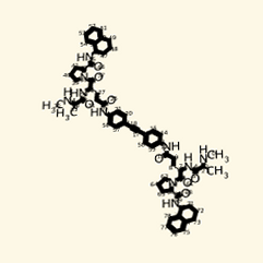 CN[C@@H](C)C(=O)N[C@@H](CCC(=O)Nc1ccc(C#Cc2ccc(NC(=O)CC[C@H](NC(=O)[C@H](C)NC)C(=O)N3CCC[C@H]3C(=O)N[C@@H]3CCCc4ccccc43)cc2)cc1)C(=O)N1CCC[C@H]1C(=O)N[C@@H]1CCCc2ccccc21